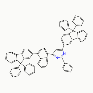 c1ccc(-c2nc(-c3ccc4c(c3)-c3ccccc3C4(c3ccccc3)c3ccccc3)cc(-c3ccc(-c4ccc5c(c4)C(c4ccccc4)(c4ccccc4)c4ccccc4-5)c4ccccc34)n2)cc1